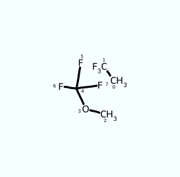 CC(F)(F)F.COC(F)(F)F